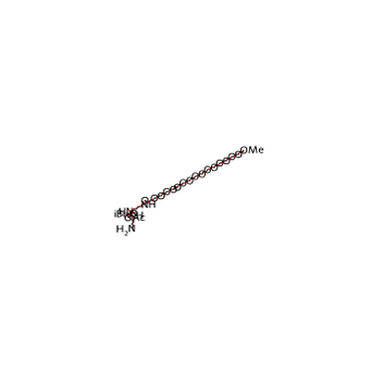 CC[C@H](C)[C@H](NC(=O)CCCCCNC(=O)CCCOCCOCCOCCOCOCCOCCOCCOCCOCCOCCOCCOCCOCCOCCOCCOC)C(=O)N[C@@H](CCCCN)C(C)=O